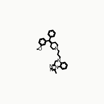 COc1cccc(C(=C2CCN(CCCN3Cc4nnc(C)n4-c4ccccc43)CC2)c2ccccc2)c1